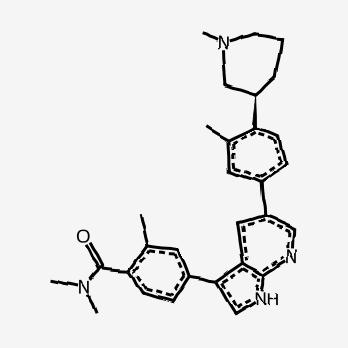 Cc1cc(-c2c[nH]c3ncc(-c4ccc([C@@H]5CCCN(C)C5)c(C)c4)cc23)ccc1C(=O)N(C)C